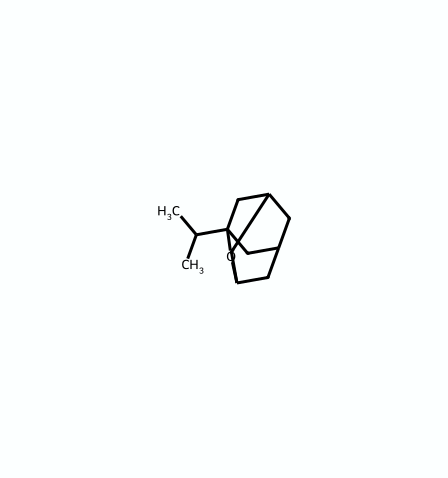 CC(C)C12CC3CC(CC(C3)O1)C2